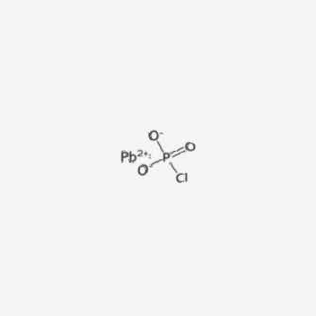 O=P([O-])([O-])Cl.[Pb+2]